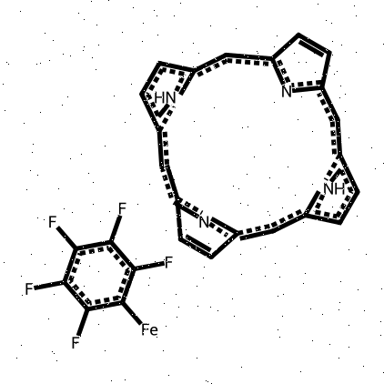 C1=Cc2cc3ccc(cc4nc(cc5ccc(cc1n2)[nH]5)C=C4)[nH]3.Fc1c(F)c(F)[c]([Fe])c(F)c1F